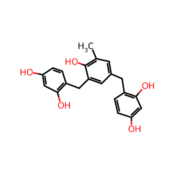 Cc1cc(Cc2ccc(O)cc2O)cc(Cc2ccc(O)cc2O)c1O